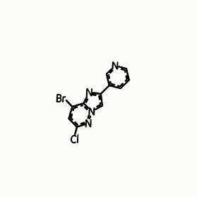 Clc1cc(Br)c2nc(-c3cccnc3)cn2n1